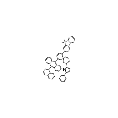 CC1(C)c2ccccc2-c2ccc(-c3ccc(-c4c5ccccc5c(-c5cccc6ccccc56)c5ccc(-n6c(-c7ccccc7)ccc6-c6ccccc6)cc45)cc3)cc21